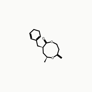 C=C1CCOC(=O)[C@H](CC2=CCCC=C2)C[C@H](C)O1